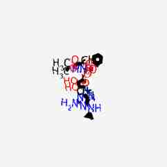 CC(C)OC(=O)[C@@H](C)N[P@](=O)(OC[C@H]1O[C@@H](n2cnc3c(NC4CC4)nc(N)nc32)[C@](C)(O)[C@@H]1O)Oc1ccccc1